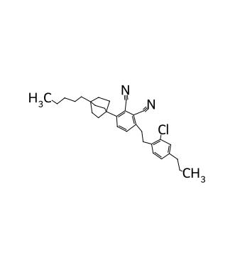 CCCCCC12CCC(c3ccc(CCc4ccc(CCC)cc4Cl)c(C#N)c3C#N)(CC1)CC2